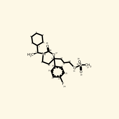 C[C@@H](C1CCCCC1)N1CCC(CCCOS(C)(=O)=O)(c2ccc(F)cc2)OC1=O